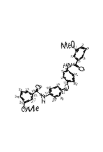 COc1cccc(C(=O)Nc2ccc(Oc3ccc(NC(=O)c4cccc(OC)c4)cc3)cc2)c1